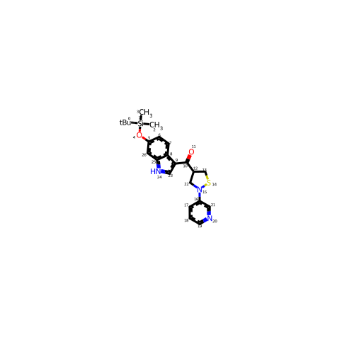 CC(C)(C)[Si](C)(C)Oc1ccc2c(C(=O)C3CSN(c4cccnc4)C3)c[nH]c2c1